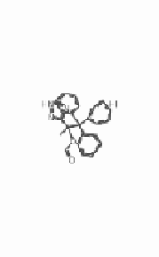 CC(OC=O)(c1nc[nH]n1)C(c1ccccc1)(c1ccccc1)c1ccccc1.I